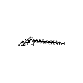 CN1CCN(c2ccc(C(=O)NCCCCCCCCCCCCCCCCCO)cn2)CC1